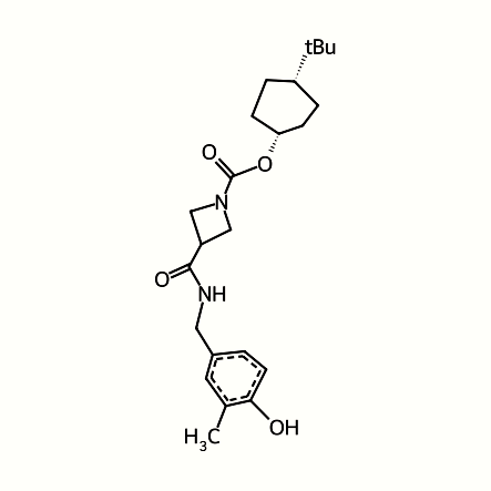 Cc1cc(CNC(=O)C2CN(C(=O)O[C@H]3CC[C@@H](C(C)(C)C)CC3)C2)ccc1O